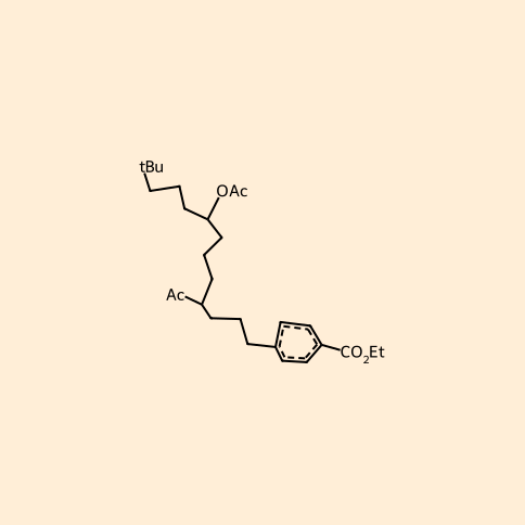 CCOC(=O)c1ccc(CCCC(CCCC(CCCC(C)(C)C)OC(C)=O)C(C)=O)cc1